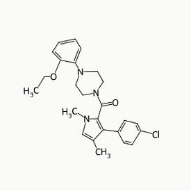 CCOc1ccccc1N1CCN(C(=O)c2c(-c3ccc(Cl)cc3)c(C)cn2C)CC1